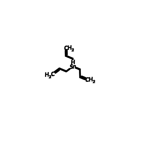 C=C[CH2][SnH]([CH2]C=C)[CH2]C=C